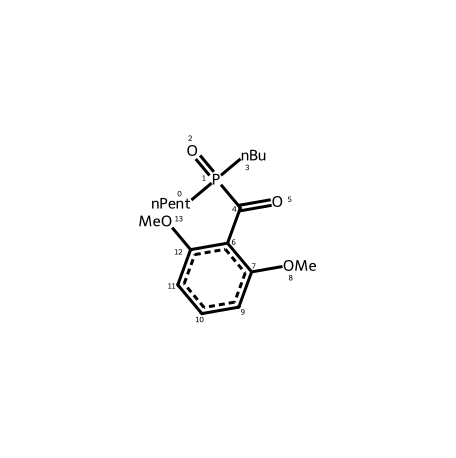 CCCCCP(=O)(CCCC)C(=O)c1c(OC)cccc1OC